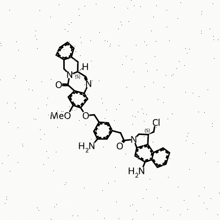 COc1cc2c(cc1OCc1cc(N)cc(CC(=O)N3C[C@@H](CCl)c4c3cc(N)c3ccccc43)c1)N=C[C@@H]1Cc3ccccc3CN1C2=O